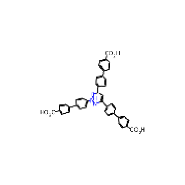 O=C(O)c1ccc(-c2ccc(C3=CC(c4ccc(-c5ccc(C(=O)O)cc5)cc4)=NN(c4ccc(-c5ccc(C(=O)O)cc5)cc4)N3)cc2)cc1